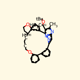 Cc1nc2cc3nn2c(c1[C@H](OC(C)(C)C)C(=O)O)-c1ccc2c(c1)[C@H](CCCCOc1ccccc1-c1cccc-3c1)CCO2